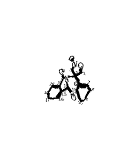 O=CC(CN=O)(c1ccccc1)N1C(=O)c2ccccc2C1=O